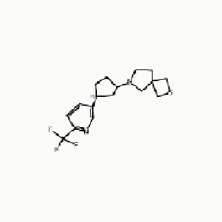 FC(F)(F)c1ccc([C@H]2CCC(N3CCC4(CSC4)C3)C2)cn1